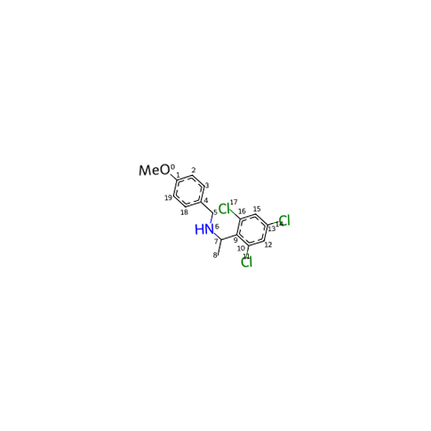 COc1ccc(CNC(C)c2c(Cl)cc(Cl)cc2Cl)cc1